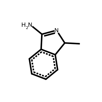 CC1N=C(N)c2ccccc21